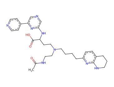 CC(=O)NCCN(CCCCc1ccc2c(n1)NCCC2)CCC(Nc1cncc(-c2ccncc2)n1)C(=O)O